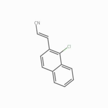 N#C/C=C/c1ccc2ccccc2c1Cl